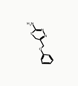 NC1=NN=C(COc2ccccc2)CS1